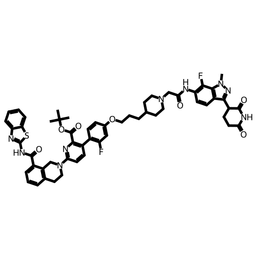 Cn1nc(C2CCC(=O)NC2=O)c2ccc(NC(=O)CN3CCC(CCCOc4ccc(-c5ccc(N6CCc7cccc(C(=O)Nc8nc9ccccc9s8)c7C6)nc5C(=O)OC(C)(C)C)c(F)c4)CC3)c(F)c21